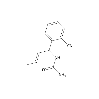 CC=CC(NC(N)=O)c1ccccc1C#N